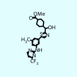 COC(=O)C1CCC(C(O)c2ncc(-c3cc(C)cc(Nc4nccc(C(F)(F)F)n4)c3)s2)CC1